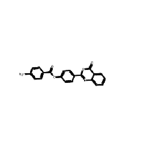 Cc1ccc(C(=O)Oc2ccc(-c3nc4ccccc4c(=O)o3)cc2)cc1